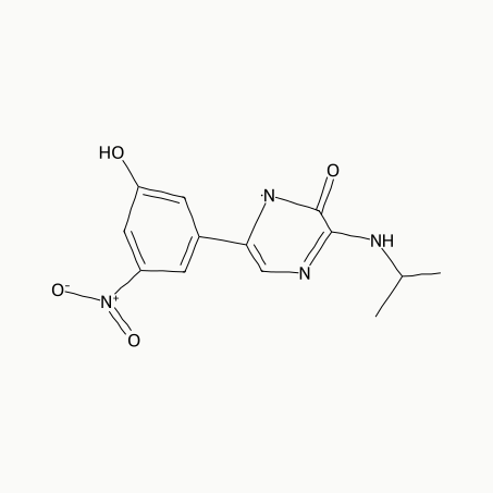 CC(C)NC1=NC=C(c2cc(O)cc([N+](=O)[O-])c2)[N]C1=O